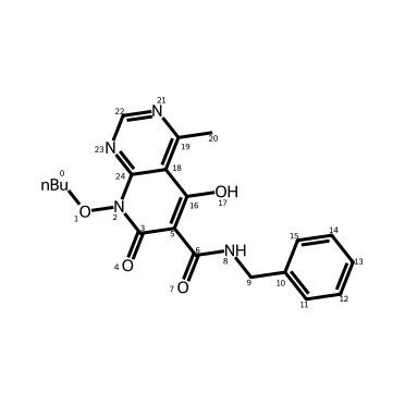 CCCCOn1c(=O)c(C(=O)NCc2ccccc2)c(O)c2c(C)ncnc21